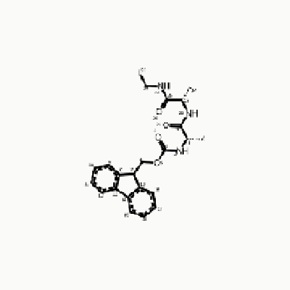 C[C@H](NC(=O)OCC1c2ccccc2-c2ccccc21)C(=O)N[C@@H](C)C(=O)NCI